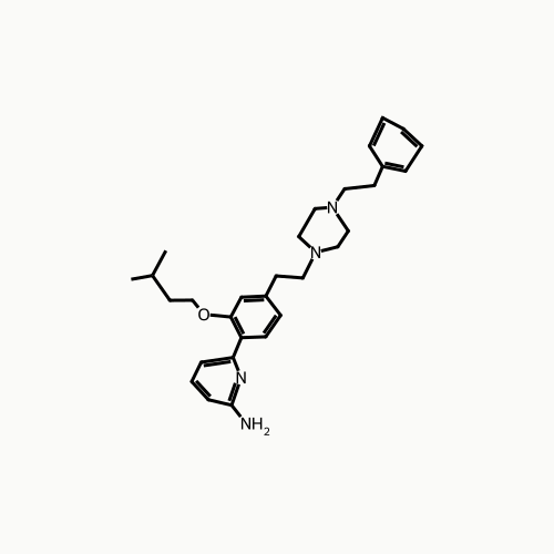 CC(C)CCOc1cc(CCN2CCN(CCc3ccccc3)CC2)ccc1-c1cccc(N)n1